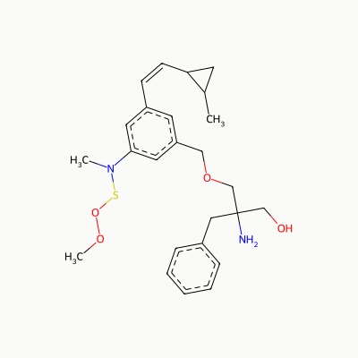 COOSN(C)c1cc(/C=C\C2CC2C)cc(COCC(N)(CO)Cc2ccccc2)c1